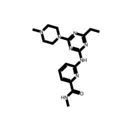 CCc1nc(Nc2cccc(C(=O)NC)n2)nc(N2CCN(C)CC2)n1